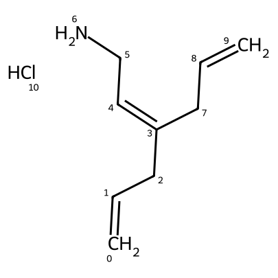 C=CCC(=CCN)CC=C.Cl